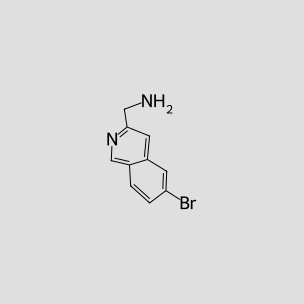 NCc1cc2cc(Br)ccc2cn1